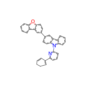 C1=CC(c2cccc(-n3c4ccccc4c4cc(-c5ccc6oc7ccccc7c6c5)ccc43)n2)=CCC1